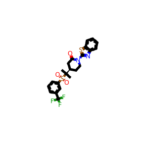 CC(C)([C@@H]1CCN(c2nc3ccccc3s2)C(=O)C1)S(=O)(=O)c1cccc(C(F)(F)F)c1